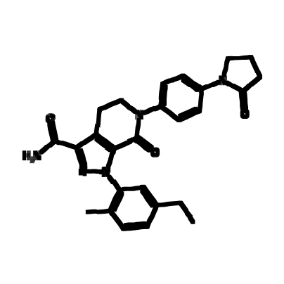 CCc1ccc(C)c(-n2nc(C(N)=O)c3c2C(=O)N(c2ccc(N4CCCC4=O)cc2)CC3)c1